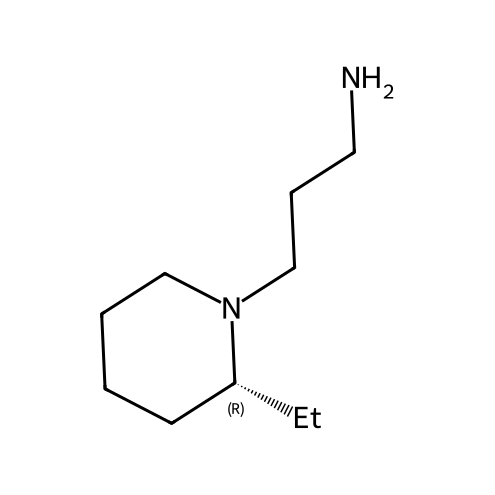 CC[C@@H]1CCCCN1CCCN